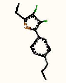 CCCc1ccc(-c2sc(CC)c(F)c2F)cc1